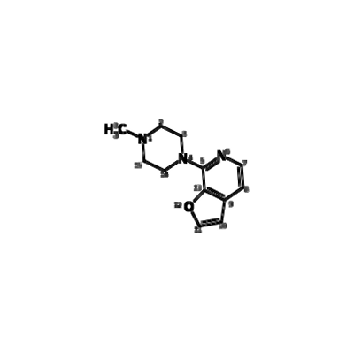 CN1CCN(c2nccc3ccoc23)CC1